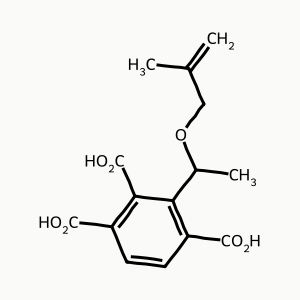 C=C(C)COC(C)c1c(C(=O)O)ccc(C(=O)O)c1C(=O)O